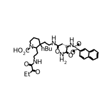 CCCCC1(CCNC(=O)C[C@H](NS(=O)(=O)c2ccc3ccccc3c2)C(N)=O)CCCN(C(=O)O)C1CCNC(=O)C(=O)CC